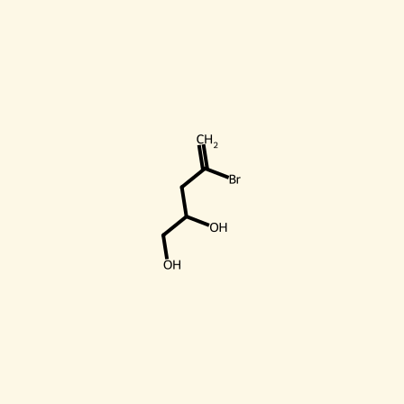 C=C(Br)CC(O)CO